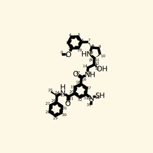 COc1cccc(C[C@@H]2CC[C@H]([C@@H](O)CNC(=O)c3cc(C(=O)N[C@H](C)c4ccccc4)cc(N(C)S)c3)N2)c1